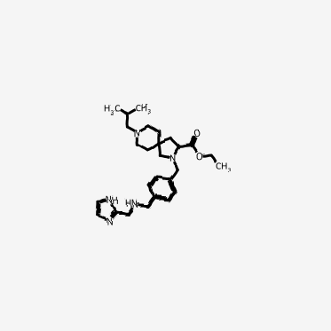 CCOC(=O)C1CC2(CCN(CC(C)C)CC2)CN1Cc1ccc(CNCc2ncc[nH]2)cc1